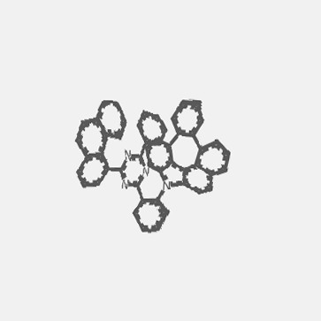 c1ccc(-c2nc(-c3ccccc3-n3c4cccc5c4c4c6c(cccc6ccc43)-c3ccccc3-5)nc(-c3cccc4ccc5ccccc5c34)n2)cc1